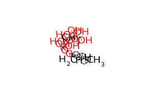 C=C1C[C@@]23CC[C@H]4C(CCC[C@@H]4C)[C@@H]2CC[C@]1(OCO[C@H](CO)C(O)C(O)[C@H](C)O[C@@H]1O[C@@H](CO)C(O)C(O)C1O)CC3